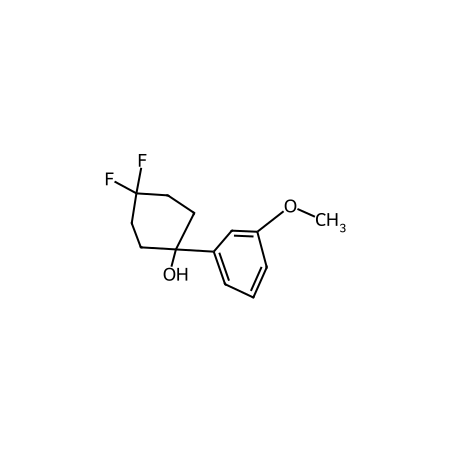 COc1cccc(C2(O)CCC(F)(F)CC2)c1